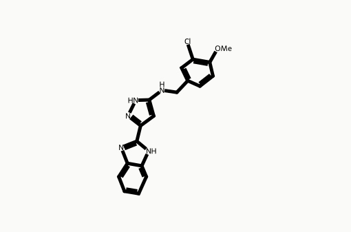 COc1ccc(CNc2cc(-c3nc4ccccc4[nH]3)n[nH]2)cc1Cl